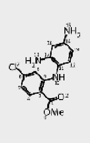 COC(=O)c1ccc(Cl)cc1Nc1ccc(N)cc1N